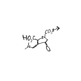 CN(C)/C=C1/C(=O)CN(C(=O)O)[C@@H]1C(=O)O